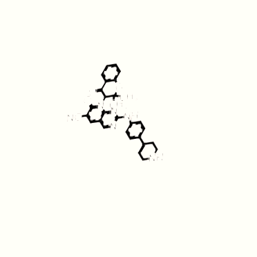 CC1(C)Oc2ccccc2C(=O)C1n1c(=O)c(C#N)cc2cnc(Nc3ccc(C4=CCNCC4)cc3)nc21